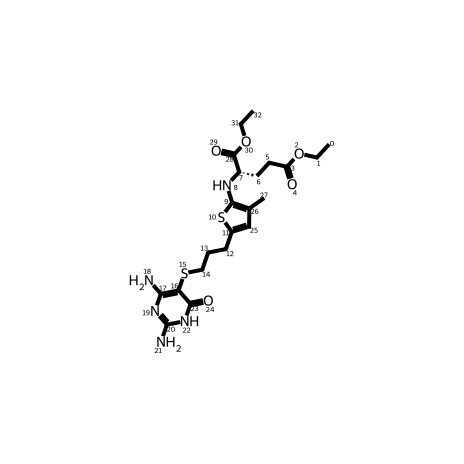 CCOC(=O)CC[C@H](Nc1sc(CCCSc2c(N)nc(N)[nH]c2=O)cc1C)C(=O)OCC